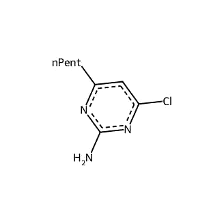 CCCCCc1cc(Cl)nc(N)n1